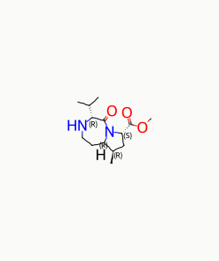 COC(=O)[C@@H]1C[C@@H](C)[C@H]2CCN[C@H](C(C)C)C(=O)N21